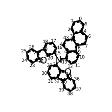 c1ccc2c(c1)ccc1c3cccc(N(c4cccc5c4oc4ccccc45)c4cccc5c4oc4ccccc45)c3ccc21